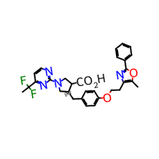 Cc1oc(-c2ccccc2)nc1CCOc1ccc(C[C@H]2CN(c3nccc(C(C)(F)F)n3)CC2C(=O)O)cc1